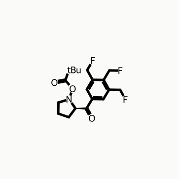 CC(C)(C)C(=O)ON1CCC[C@@H]1C(=O)c1cc(CF)c(CF)c(CF)c1